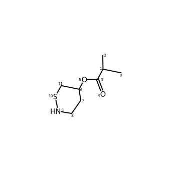 CC(C)C(=O)OC1CCNSC1